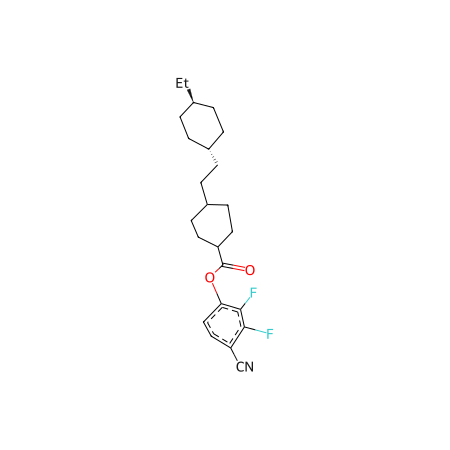 CC[C@H]1CC[C@H](CCC2CCC(C(=O)Oc3ccc(C#N)c(F)c3F)CC2)CC1